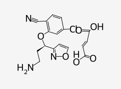 N#Cc1ccc(Cl)cc1O[C@H](CCN)c1ccon1.O=C(O)/C=C/C(=O)O